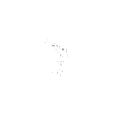 COc1cc(-c2nc(C(=O)Nc3cc4sc(N5CCOCC5)nc4nc3N3CCCCC3)co2)ccn1